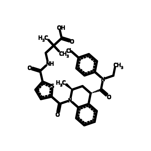 CCN(C(=O)[C@H]1C[C@H](C)N(C(=O)c2ccc(C(=O)NCC(C)(C)C(=O)O)s2)c2ccccc21)c1ccc(Cl)cc1